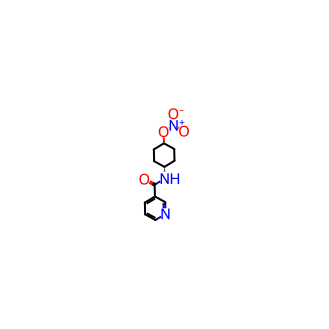 O=C(N[C@H]1CC[C@H](O[N+](=O)[O-])CC1)c1cccnc1